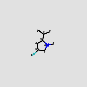 CC(C)C1CC(F)CN1C